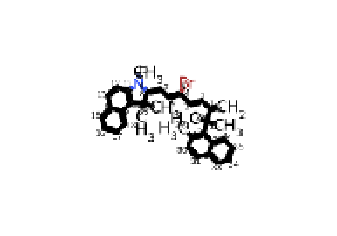 C=C(/C=C/C(Br)=C/C=C1/N(C)c2ccc3ccccc3c2C1(C)C)C(C)(C)c1c(C)ccc2ccccc12